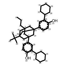 CCCC12CC3(c4ccc(O)c(C5CCCCC5)c4)CC(c4ccc(O)c(C5CCCCC5)c4)(C1)CC(C(C)(C)C)(C2)C3